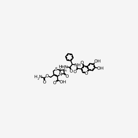 NC(=O)OCC1=C(C(=O)O)N2C(=O)[C@@H](NC(=O)C(NC(=O)c3coc4cc(O)c(O)cc4c3=O)c3ccccc3)[C@@H]2SC1